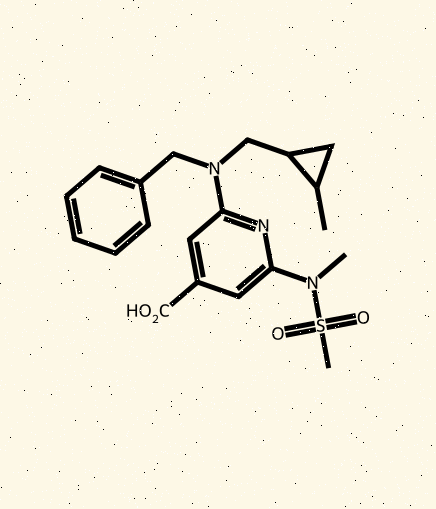 CC1CC1CN(Cc1ccccc1)c1cc(C(=O)O)cc(N(C)S(C)(=O)=O)n1